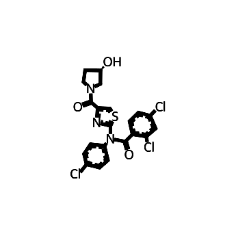 O=C(c1csc(N(C(=O)c2ccc(Cl)cc2Cl)c2ccc(Cl)cc2)n1)N1CC[C@H](O)C1